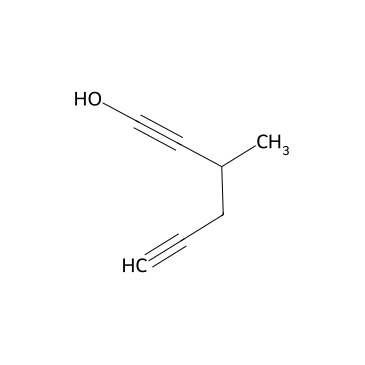 C#CCC(C)C#CO